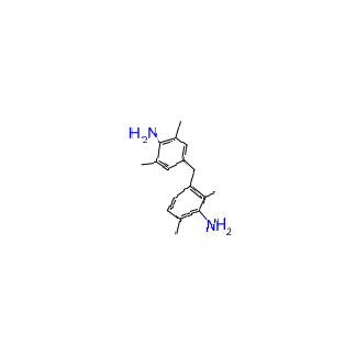 Cc1cc(Cc2ccc(C)c(N)c2C)cc(C)c1N